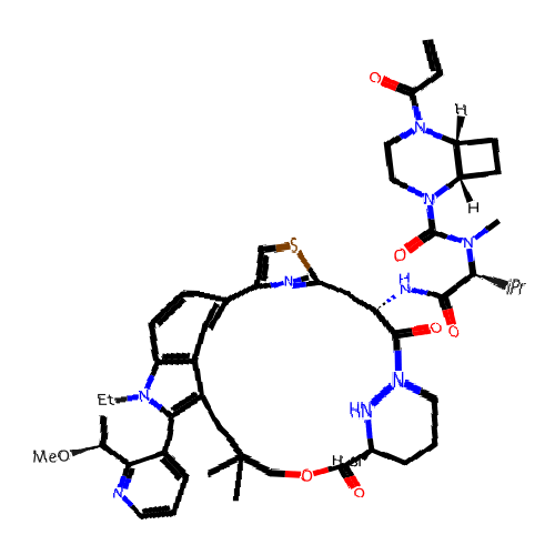 C=CC(=O)N1CCN(C(=O)N(C)[C@H](C(=O)N[C@H]2Cc3nc(cs3)-c3ccc4c(c3)c(c(-c3cccnc3[C@H](C)OC)n4CC)CC(C)(C)COC(=O)[C@@]3([SiH3])CCCN(N3)C2=O)C(C)C)[C@H]2CC[C@H]21